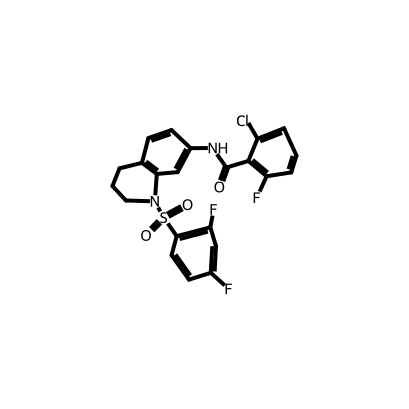 O=C(Nc1ccc2c(c1)N(S(=O)(=O)c1ccc(F)cc1F)CCC2)c1c(F)cccc1Cl